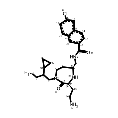 CCC(CN1CC[C@@H](CNC(=O)c2ccc3cc(Cl)ccc3c2)N[C@@H](CCN)C1=O)C1CC1